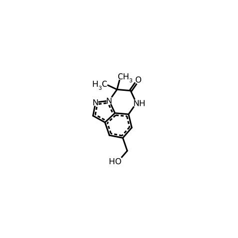 CC1(C)C(=O)Nc2cc(CO)cc3cnn1c23